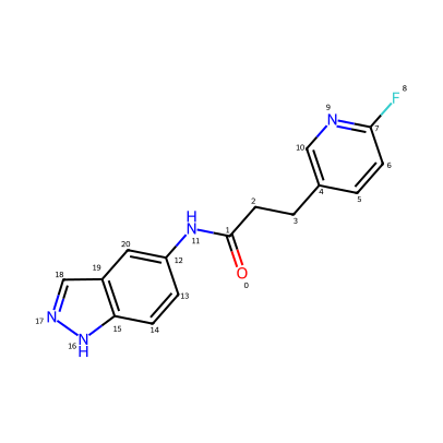 O=C(CCc1ccc(F)nc1)Nc1ccc2[nH]ncc2c1